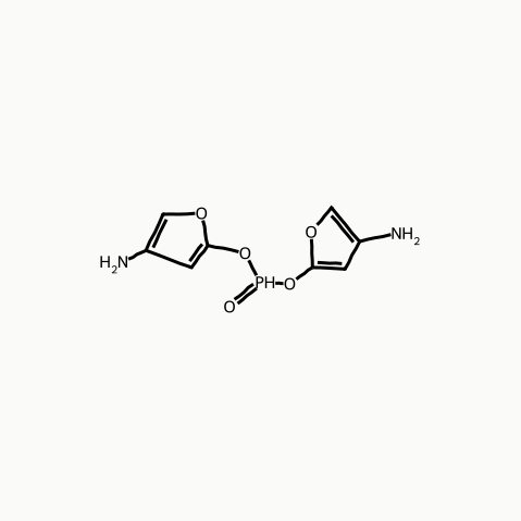 Nc1coc(O[PH](=O)Oc2cc(N)co2)c1